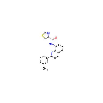 Cc1cccc(-c2ccc3cccc(NC(=O)c4cscn4)c3n2)c1